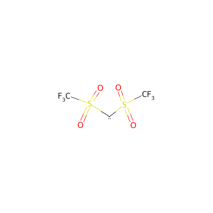 O=S(=O)([C]S(=O)(=O)C(F)(F)F)C(F)(F)F